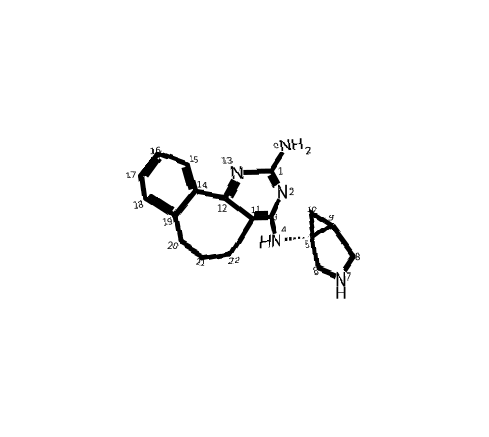 Nc1nc(N[C@@]23CNCC2C3)c2c(n1)-c1ccccc1CCC2